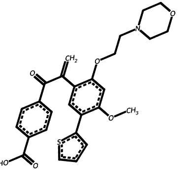 C=C(C(=O)c1ccc(C(=O)O)cc1)c1cc(-c2cccs2)c(OC)cc1OCCN1CCOCC1